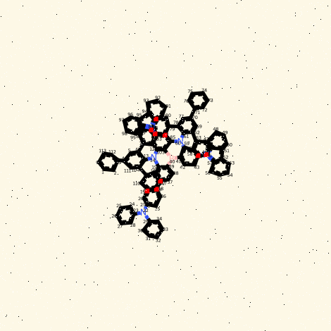 c1ccc(-c2cc(-c3ccccc3)c(N3c4cc(-c5ccc(N(c6ccccc6)c6ccccc6)cc5)ccc4B4c5ccc(-n6c7ccccc7c7ccccc76)cc5N(c5c(-c6ccccc6)cc(-c6ccccc6)cc5-c5ccccc5)c5cc(-n6c7ccccc7c7ccccc76)cc3c54)c(-c3ccccc3)c2)cc1